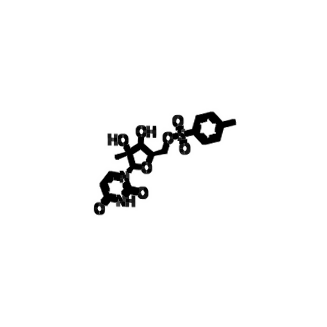 Cc1ccc(S(=O)(=O)OC[C@H]2O[C@@H](n3ccc(=O)[nH]c3=O)[C@](C)(O)C2O)cc1